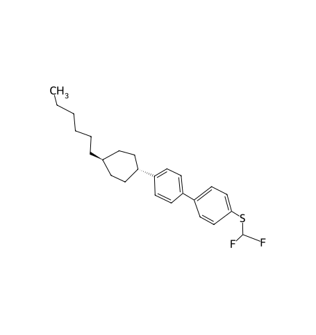 CCCCCC[C@H]1CC[C@H](c2ccc(-c3ccc(SC(F)F)cc3)cc2)CC1